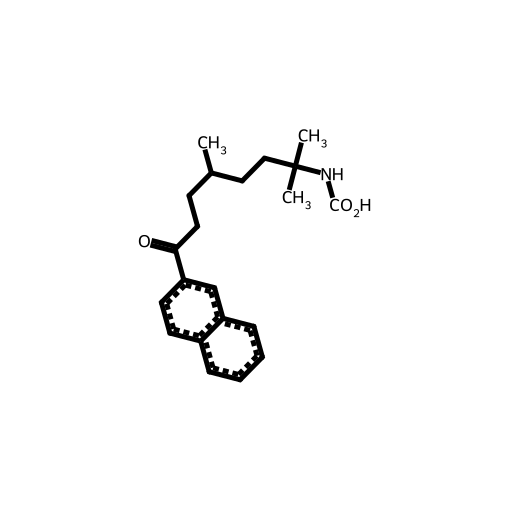 CC(CCC(=O)c1ccc2ccccc2c1)CCC(C)(C)NC(=O)O